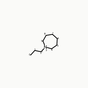 CC[CH]N1CCCCCC1